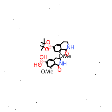 COc1cc(B(O)O)cc2c1C(=O)NCC2.COc1cc(B2OC(C)(C)C(C)(C)O2)cc2c1C(=O)NCC2